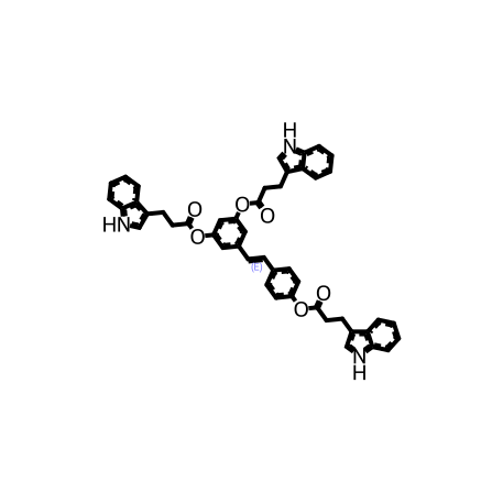 O=C(CCc1c[nH]c2ccccc12)Oc1ccc(/C=C/c2cc(OC(=O)CCc3c[nH]c4ccccc34)cc(OC(=O)CCc3c[nH]c4ccccc34)c2)cc1